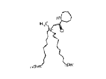 CCCCCCCCCCCCCCCCCC[N+](C)(CCCCCCCCCCCCCCCCCC)CC(=O)C1CCCCCN1